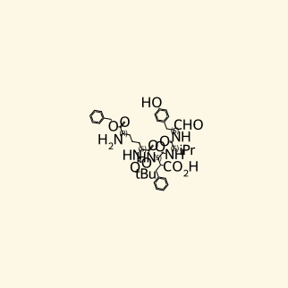 CC(C)[C@H](NC(=O)[C@@H](NC(=O)[C@H](CCC[C@@H](N)C(=O)OCc1ccccc1)NC(=O)OC(C)(C)C)C(Cc1ccccc1)C(=O)O)C(=O)N[C@H]([C]=O)Cc1ccc(O)cc1